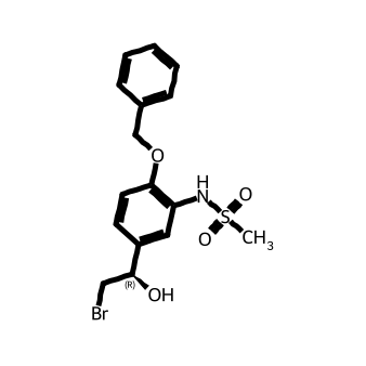 CS(=O)(=O)Nc1cc([C@@H](O)CBr)ccc1OCc1ccccc1